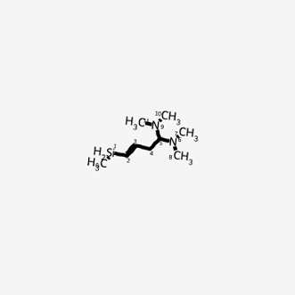 C[SiH2]C=CCC(N(C)C)N(C)C